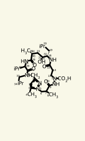 Cc1cc(C)n(CC(C)C(=O)NN(CCC(=O)N[C@@H](CC(C)C)[C@@H](O)C[C@@H](C)C(=O)NC(C(=O)NCC(C)C)C(C)C)C(=O)O)n1